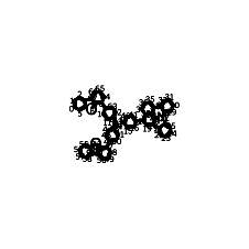 c1ccc2c(c1)oc1c(-c3ccc(N(c4ccc(-c5cc6c7ccccc7n7c8ccccc8c8cccc5c8c67)cc4)c4ccc(-c5cccc6c5oc5ccccc56)cc4)cc3)cccc12